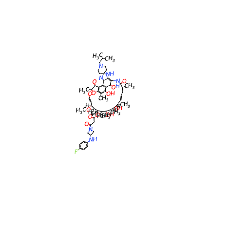 CO[C@H]1/C=C/O[C@@]2(C)Oc3c(C)c(O)c4c(c3C2=O)C2=NC3(CCN(CC(C)C)CC3)NC2=C(NC(=O)/C(C)=C\C=C\[C@H](C)[C@H](O)[C@@H](C)[C@@H](O)[C@@H](C)[C@H](OC(=O)CC(=O)N2CC(Nc3ccc(F)cc3)C2)[C@@H]1C)C4=O